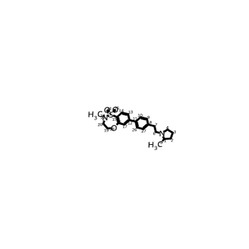 CC1CCCN1CCc1ccc(-c2ccc3c(c2)OCCN(C)S3(=O)=O)cc1